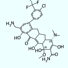 CO[C@@]1(O)C(C(N)=O)=C(O)[C@@H](N(C)C)C2CC3Cc4c(-c5ccc(Cl)c(C(F)(F)F)c5)cc(CN)c(O)c4C(=O)C3=C(O)C21